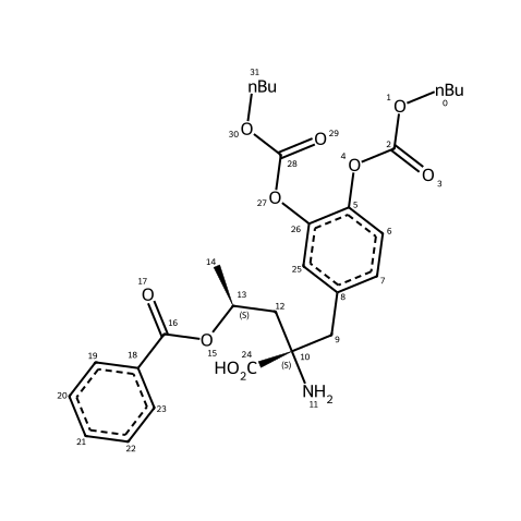 CCCCOC(=O)Oc1ccc(C[C@](N)(C[C@H](C)OC(=O)c2ccccc2)C(=O)O)cc1OC(=O)OCCCC